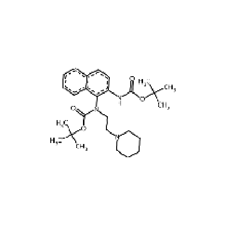 CC(C)(C)OC(=O)Nc1ccc2ccccc2c1N(CCN1CCCCC1)C(=O)OC(C)(C)C